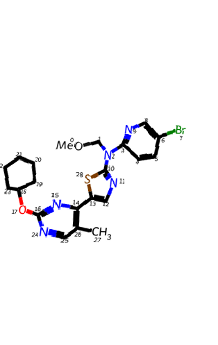 COCN(c1ccc(Br)cn1)c1ncc(-c2nc(OC3CCCCC3)ncc2C)s1